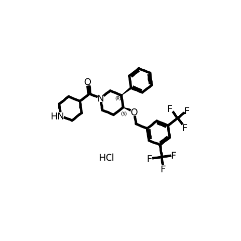 Cl.O=C(C1CCNCC1)N1CC[C@H](OCc2cc(C(F)(F)F)cc(C(F)(F)F)c2)[C@H](c2ccccc2)C1